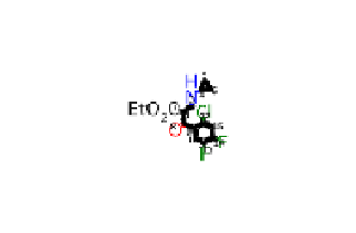 CCOC(=O)C(=CNC1CC1)C(=O)c1cc(F)c(F)cc1Cl